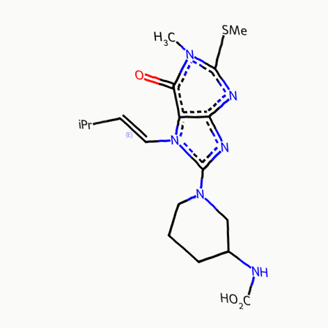 CSc1nc2nc(N3CCCC(NC(=O)O)C3)n(/C=C/C(C)C)c2c(=O)n1C